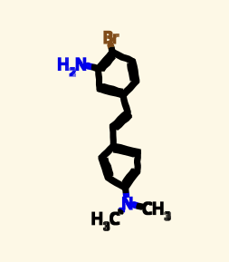 CN(C)c1ccc(/C=C/c2ccc(Br)c(N)c2)cc1